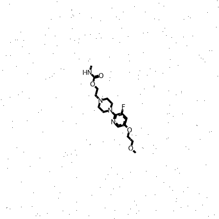 CNC(=O)OCCN1CCN(c2ncc(OCCOC)cc2F)CC1